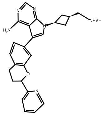 CC(=O)NC[C@H]1C[C@@H](n2cc(-c3ccc4c(c3)OC(c3ccccn3)CC4)c3c(N)ncnc32)C1